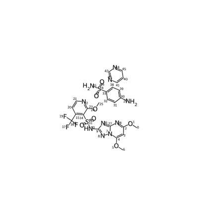 COc1cc(OC)n2nc(NS(=O)(=O)c3c(C(F)(F)F)ccnc3OC)nc2n1.Nc1ccc(S(N)(=O)=O)cc1.c1cncnc1